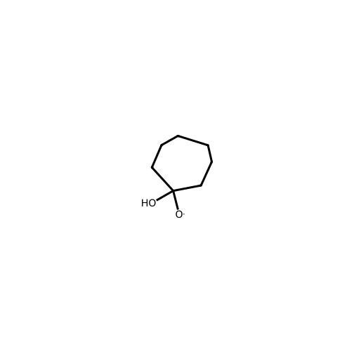 [O]C1(O)CCCCCC1